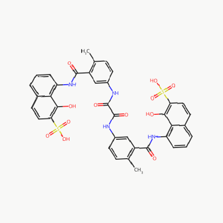 Cc1ccc(NC(=O)C(=O)Nc2ccc(C)c(C(=O)Nc3cccc4ccc(S(=O)(=O)O)c(O)c34)c2)cc1C(=O)Nc1cccc2ccc(S(=O)(=O)O)c(O)c12